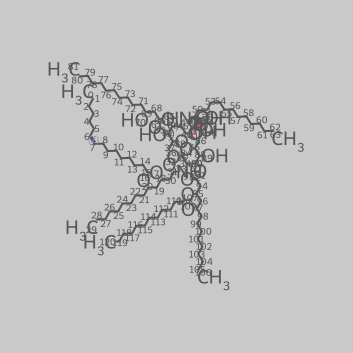 CCCCCC/C=C\CCCCCCCC(=O)OC(CCCCCCCCCCC)CC(=O)NC1[C@H](OCC2OC(OP(=O)(O)O)C(NC(=O)CC(O)CCCCCCCCCCC)[C@@H](OC(=O)CC(O)CCCCCCCCCCC)[C@@H]2O)OC(CO)C(O)[C@@H]1OC(=O)CC(CCCCCCCCCCC)OC(=O)CCCCCCCCCCC